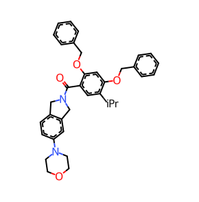 CC(C)c1cc(C(=O)N2Cc3ccc(N4CCOCC4)cc3C2)c(OCc2ccccc2)cc1OCc1ccccc1